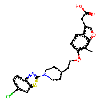 Cc1c(OCCC2CCN(c3nc4ccc(Cl)cc4s3)CC2)ccc2c(CC(=O)O)coc12